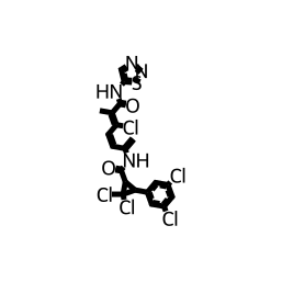 C=C(/C=C\C(Cl)=C(/C)C(=O)Nc1cnns1)NC(=O)C1C(c2cc(Cl)cc(Cl)c2)C1(Cl)Cl